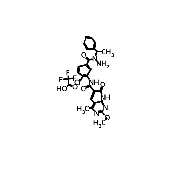 COc1nc(C)c2cc(C(=O)Nc3cc(C(=O)N(N)C(C)c4ccccc4)ccc3Cl)c(=O)[nH]c2n1.O=C(O)C(F)(F)F